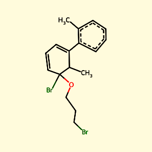 Cc1ccccc1C1=CC=CC(Br)(OCCCBr)C1C